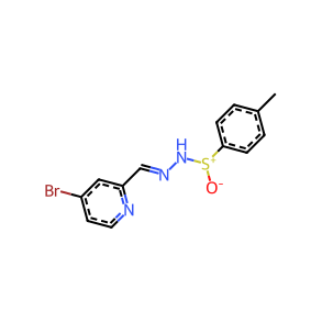 Cc1ccc([S+]([O-])N/N=C/c2cc(Br)ccn2)cc1